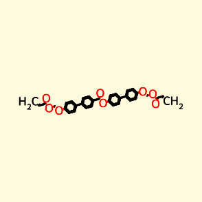 C=CC(=O)OCOc1ccc(-c2ccc(OC(=O)c3ccc(-c4ccc(OCOC(=O)C=C)cc4)cc3)cc2)cc1